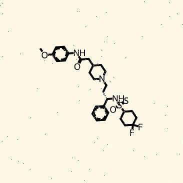 COc1ccc(NC(=O)CC2CCN(CC[C@H](NS(=O)(=S)C3CCC(F)(F)CC3)c3ccccc3)CC2)cc1